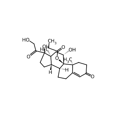 CCC(=O)O[C@]12[C@@H](O)C[C@@]3(C)[C@@H](CC[C@]3(O)C(=O)CO)[C@@H]1CCC1=CC(=O)CC[C@@]12C